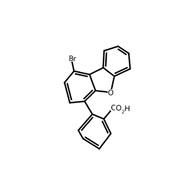 O=C(O)c1ccccc1-c1ccc(Br)c2c1oc1ccccc12